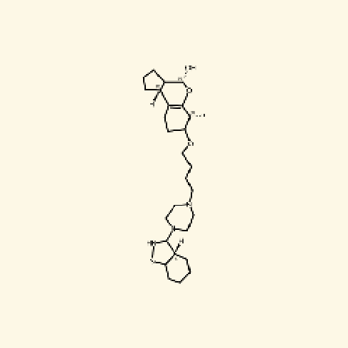 C[C@H]1C2=C(CCC1OCCCCN1CCN(C3NSC4CCCC[C@H]43)CC1)[C@@H]1CCCC1[C@H](O)O2